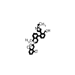 CCn1cc(-c2c(CO)cccc2-c2cccc3c2CCN(C(=O)Cc2c(Cl)cccc2Cl)[C@H]3C)cn1